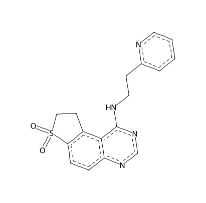 O=S1(=O)CCc2c1ccc1ncnc(NCCc3ccccn3)c21